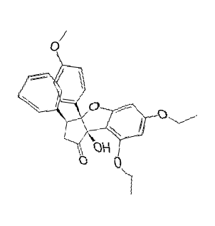 CCOc1cc(OCC)c2c(c1)O[C@@]1(c3ccc(OC)cc3)[C@H](c3ccccc3)CC(=O)[C@@]21O